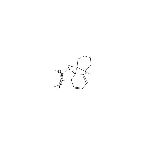 CC(=O)NC1(C2(C)CCCCC2(C)C)C=CC=CC1C(=O)O